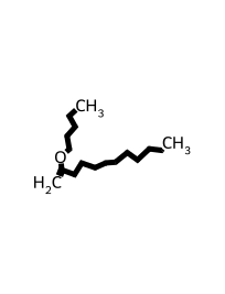 C=C(CCCCCCCCCC)OCCCCC